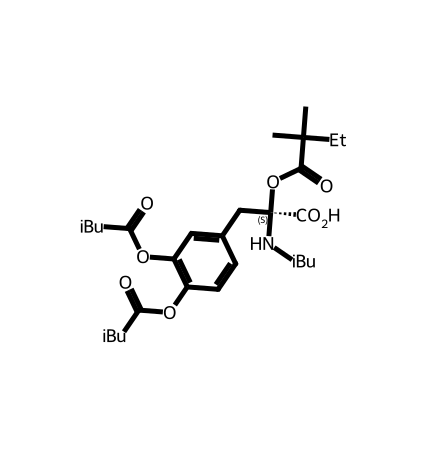 CCC(C)N[C@@](Cc1ccc(OC(=O)C(C)CC)c(OC(=O)C(C)CC)c1)(OC(=O)C(C)(C)CC)C(=O)O